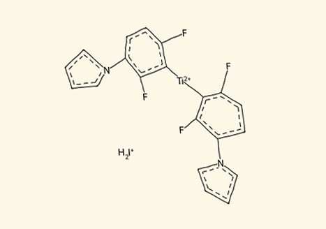 Fc1ccc(-n2cccc2)c(F)[c]1[Ti+2][c]1c(F)ccc(-n2cccc2)c1F.[IH2+]